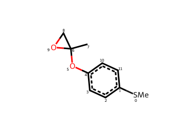 CSc1ccc(OC2(C)CO2)cc1